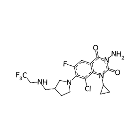 Nn1c(=O)c2cc(F)c(N3CCC(CNCC(F)(F)F)C3)c(Cl)c2n(C2CC2)c1=O